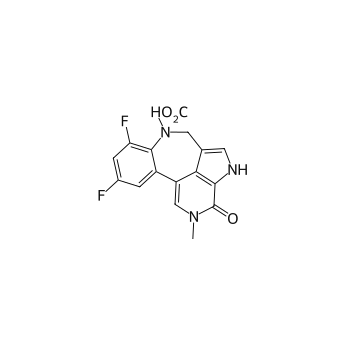 Cn1cc2c3c(c[nH]c3c1=O)CN(C(=O)O)c1c(F)cc(F)cc1-2